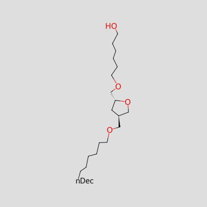 CCCCCCCCCCCCCCCCOC[C@@H]1CO[C@@H](COCCCCCCO)C1